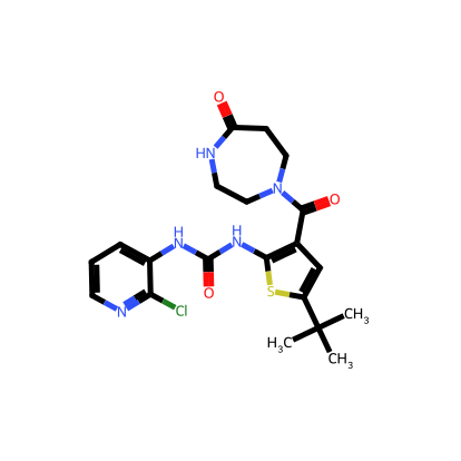 CC(C)(C)c1cc(C(=O)N2CCNC(=O)CC2)c(NC(=O)Nc2cccnc2Cl)s1